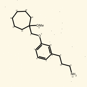 COC1(COc2cccc(CCCN)c2)CCCCCC1